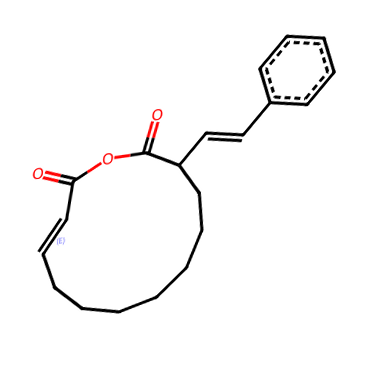 O=C1/C=C/CCCCCCCC(C=Cc2ccccc2)C(=O)O1